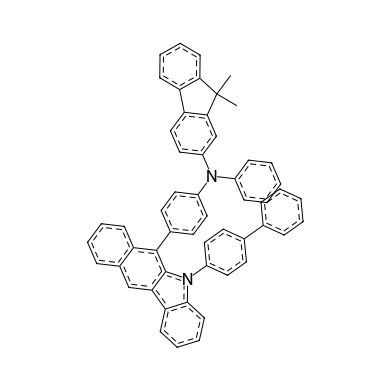 CC1(C)c2ccccc2-c2ccc(N(c3ccccc3)c3ccc(-c4c5ccccc5cc5c6ccccc6n(-c6ccc(-c7ccccc7)cc6)c45)cc3)cc21